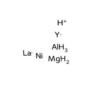 [AlH3].[H+].[La].[MgH2].[Ni].[Y]